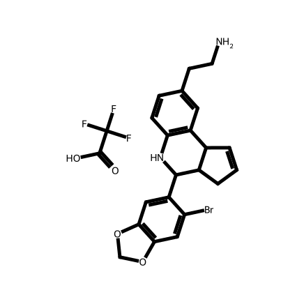 NCCc1ccc2c(c1)C1C=CCC1C(c1cc3c(cc1Br)OCO3)N2.O=C(O)C(F)(F)F